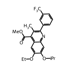 CCOc1cc2c(C(=O)OC)c(C)c(-c3cccc(C(F)(F)F)c3)nc2cc1OC(C)C